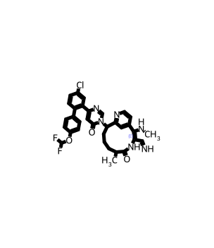 CN/C1=C(\C=N)NC(=O)C(C)CCCC(n2cnc(-c3cc(Cl)ccc3-c3ccc(OC(F)F)cc3)cc2=O)c2cc1ccn2